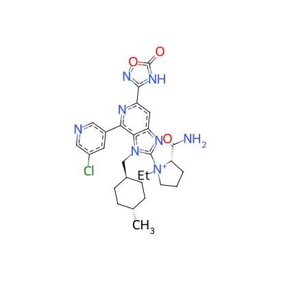 CC[N+]1(c2nc3cc(-c4noc(=O)[nH]4)nc(-c4cncc(Cl)c4)c3n2C[C@H]2CC[C@H](C)CC2)CCC[C@H]1C(N)=O